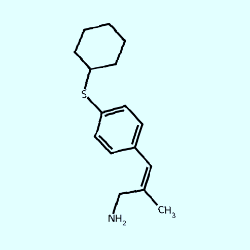 CC(=Cc1ccc(SC2CCCCC2)cc1)CN